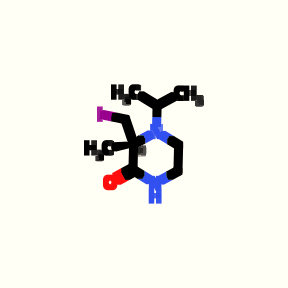 CC(C)N1CCNC(=O)[C@]1(C)CI